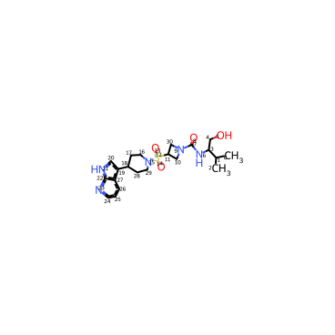 CC(C)C(CO)NC(=O)N1CC(S(=O)(=O)N2CCC(c3c[nH]c4ncccc34)CC2)C1